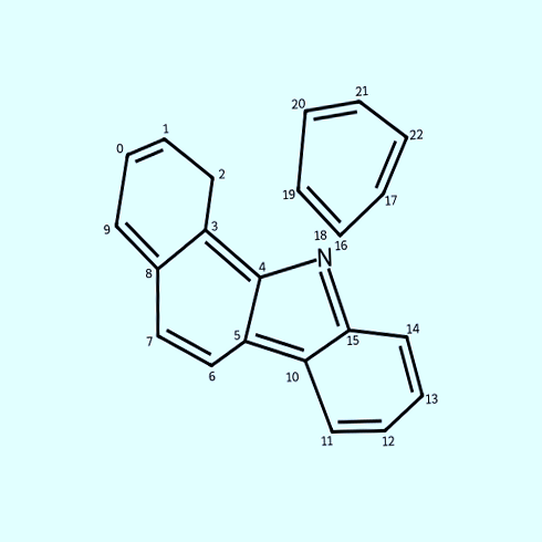 C1=CCc2c3c(ccc2=C1)=c1ccccc1=N3.c1ccccc1